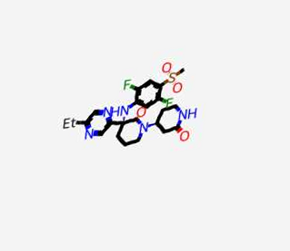 CCc1cnc([C@]2(Nc3cc(F)c(S(C)(=O)=O)cc3F)CCCN([C@H]3CCNC(=O)C3)C2=O)cn1